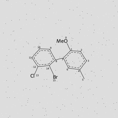 COc1ccc(C)cc1-c1cccc(Cl)c1Br